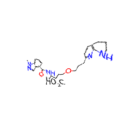 Cn1ncc2c(C(=O)NC(CCCOCCCc3ccc4c(n3)NCCC4)C(=O)O)cccc21